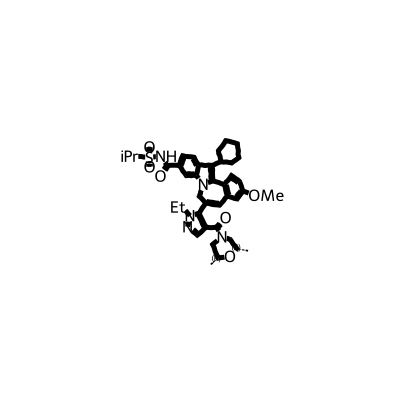 CCn1ncc(C(=O)N2C[C@@H](C)O[C@@H](C)C2)c1C1=Cc2cc(OC)ccc2-c2c(C3CCCCC3)c3ccc(C(=O)NS(=O)(=O)C(C)C)cc3n2C1